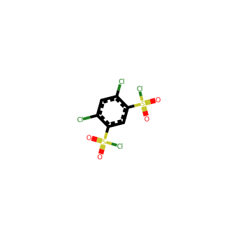 O=S(=O)(Cl)c1cc(S(=O)(=O)Cl)c(Cl)cc1Cl